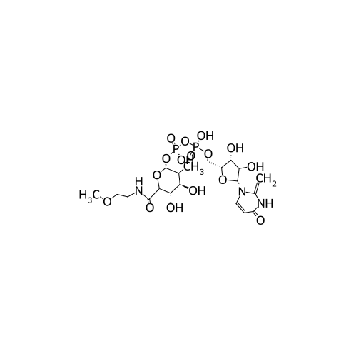 C=C1NC(=O)C=CN1[C@@H]1O[C@H](CO[P@](=O)(O)O[P@](=O)(O)O[C@H]2OC(C(=O)NCCOC)[C@@H](O)[C@H](O)C2C)[C@H](O)C1O